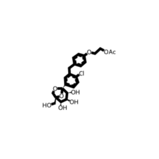 CC(=O)OCCOc1ccc(Cc2cc([C@@]34OC[C@](CO)(O3)[C@@H](O)[C@H](O)[C@H]4O)ccc2Cl)cc1